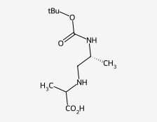 CC(NC[C@@H](C)NC(=O)OC(C)(C)C)C(=O)O